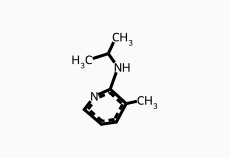 Cc1cccnc1NC(C)C